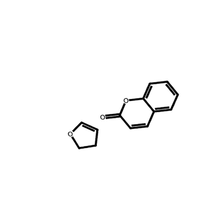 C1=COCC1.O=c1ccc2ccccc2o1